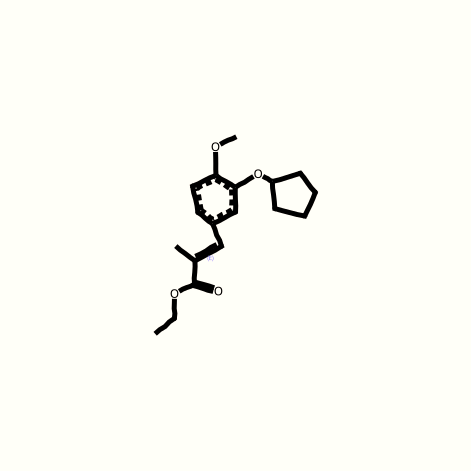 CCOC(=O)/C(C)=C/c1ccc(OC)c(OC2CCCC2)c1